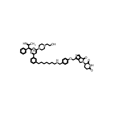 CC(=N)/C(=C1/N=C(c2cccc(CCCCCCCNCc3ccc(OCc4scc5c4CN(C4CCC(=O)NC4=O)C5=O)cc3)c2)C=C(N2CCN(CCO)CC2)N1)c1ccccc1